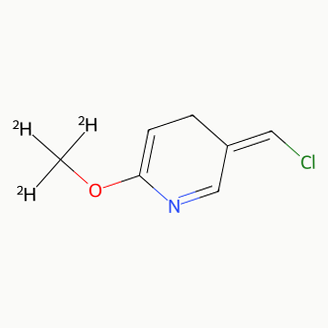 [2H]C([2H])([2H])OC1=CCC(=CCl)C=N1